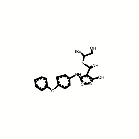 CC(C)(C)C(CO)NC(=N)c1c(O)nsc1Nc1ccc(Oc2ccccc2)cc1